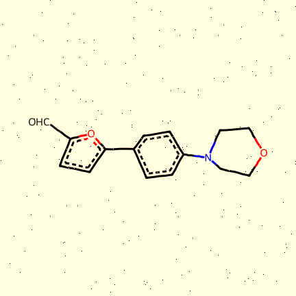 O=Cc1ccc(-c2ccc(N3CCOCC3)cc2)o1